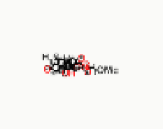 COCCC(=O)OCC(=O)[C@@]1(O)CC[C@H]2[C@@H]3CC(C)C4=CC(=O)C=C[C@]4(C)[C@H]3C(O)C[C@@]21C